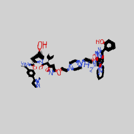 CC(C)[C@@H](C(=O)N1C[C@H](O)C[C@H]1C(=O)N[C@@H](C)c1ccc(-c2ccnn2C)cc1)c1cc(OCCN2CCN(CCOc3cc(N4C5CCC4CN(c4cc(-c6ccccc6O)nnc4N)C5)ccn3)CC2)no1